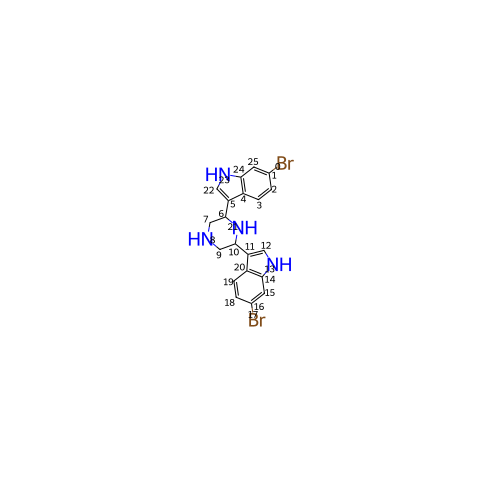 Brc1ccc2c(C3CNCC(c4c[nH]c5cc(Br)ccc45)N3)c[nH]c2c1